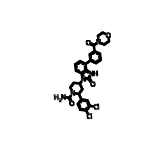 NC(=O)N1CCC(n2c(=O)[nH]c3c(-c4cccc(C(=O)N5CCOCC5)c4)cccc32)CC1c1ccc(Cl)c(Cl)c1